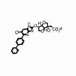 O=C(O)C[C@@]1(O)CO[C@H]2C1OC[C@H]2Oc1nc2nc(-c3ccc(-c4ccccc4)cc3)c(Cl)cc2[nH]1